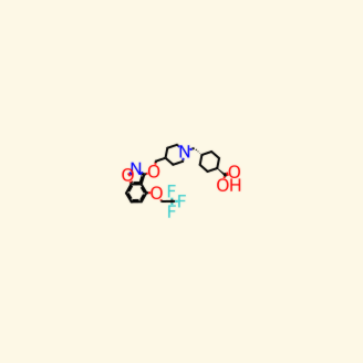 O=C(O)[C@H]1CC[C@H](CN2CCC(COc3noc4cccc(OCC(F)(F)F)c34)CC2)CC1